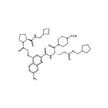 Cc1ccc2c(OCC(=O)N3CCC[C@H]3C(=O)NCC3CCC3)cc(C(=O)N[C@@H](CCC(=O)OCC3CCCC3)C(=O)N3CCN(C(=O)O)CC3)nc2c1